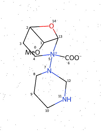 COC1C2CC[N+](C(=O)[O-])(N3CCCNC3)C1O2